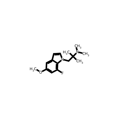 COc1cc(F)c2c(ccn2CC(C)(C)N(C)C)c1